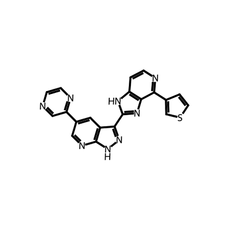 c1cnc(-c2cnc3[nH]nc(-c4nc5c(-c6ccsc6)nccc5[nH]4)c3c2)cn1